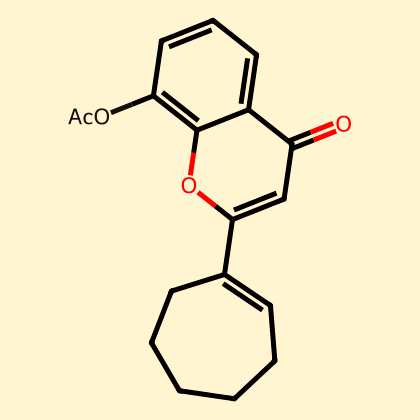 CC(=O)Oc1cccc2c(=O)cc(C3=CCCCCC3)oc12